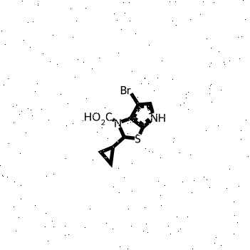 O=C(O)N1c2c(Br)c[nH]c2SC1C1CC1